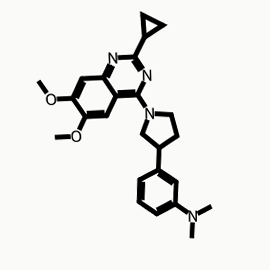 COc1cc2nc(C3CC3)nc(N3CCC(c4cccc(N(C)C)c4)C3)c2cc1OC